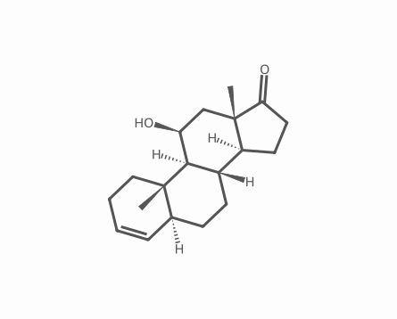 C[C@]12CCC=C[C@@H]1CC[C@@H]1[C@@H]2[C@@H](O)C[C@]2(C)C(=O)CC[C@@H]12